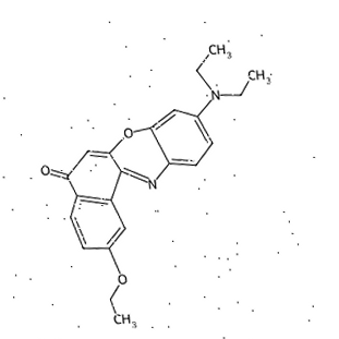 CCOc1ccc2c(=O)cc3oc4cc(N(CC)CC)ccc4nc-3c2c1